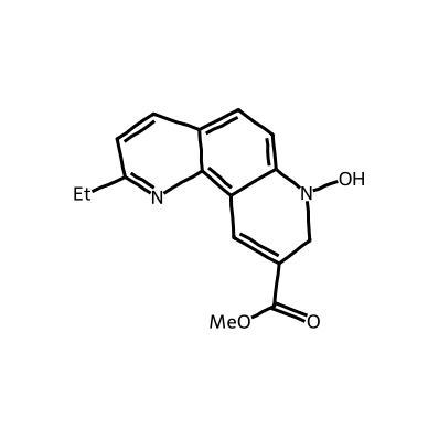 CCc1ccc2ccc3c(c2n1)C=C(C(=O)OC)CN3O